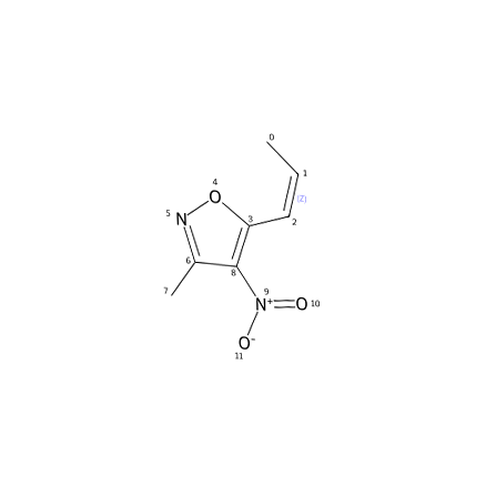 C/C=C\c1onc(C)c1[N+](=O)[O-]